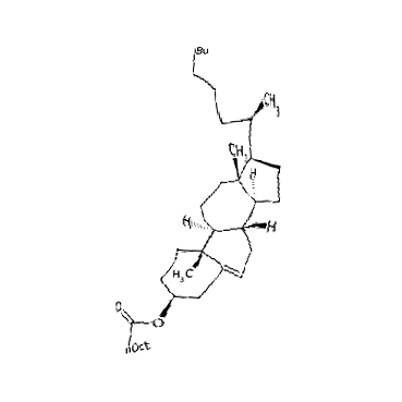 CCCCCCCCC(=O)O[C@H]1CC[C@@]2(C)C(=CC[C@H]3[C@@H]4CC[C@H]([C@H](C)CCCC(C)CC)[C@@]4(C)CC[C@@H]32)C1